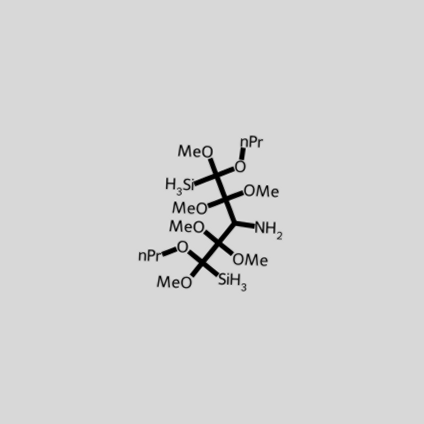 CCCOC([SiH3])(OC)C(OC)(OC)C(N)C(OC)(OC)C([SiH3])(OC)OCCC